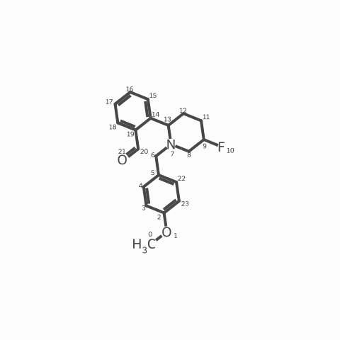 COc1ccc(CN2CC(F)CCC2c2ccccc2C=O)cc1